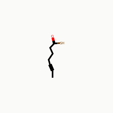 CC#CCCCC(=O)S